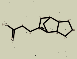 O=C(O)CCC1=C2CC(C1)C1CCCC21